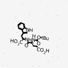 CC(C)(C)OC(=O)N[C@@H](CCC(=O)O)C(=O)N[C@H](Cc1c[nH]c2ccccc12)C(=O)O